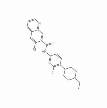 CCN1CCN(c2ccc(NC(=O)c3cc4ncccc4cc3Cl)cc2F)CC1